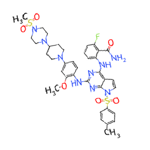 COc1cc(N2CCC(N3CCN(S(C)(=O)=O)CC3)CC2)ccc1Nc1nc(Nc2cccc(F)c2C(N)=O)c2ccn(S(=O)(=O)c3ccc(C)cc3)c2n1